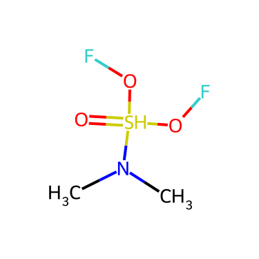 CN(C)[SH](=O)(OF)OF